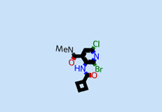 CNC(=O)c1cc(Cl)nc(Br)c1NC(=O)C1CCC1